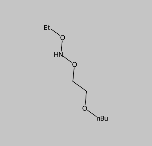 CCCCOCCONOCC